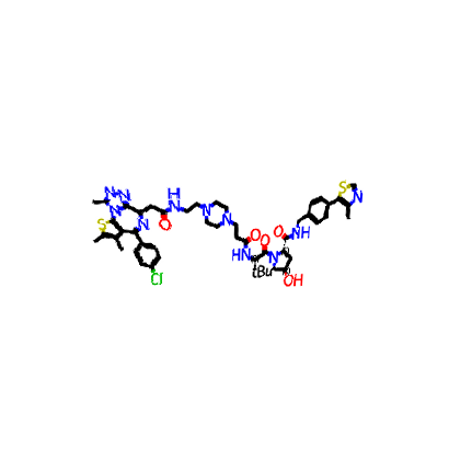 Cc1ncsc1-c1ccc(CNC(=O)[C@@H]2C[C@@H](O)CN2C(=O)[C@@H](NC(=O)CCN2CCN(CCNC(=O)CC3N=C(c4ccc(Cl)cc4)c4c(sc(C)c4C)-n4c(C)nnc43)CC2)C(C)(C)C)cc1